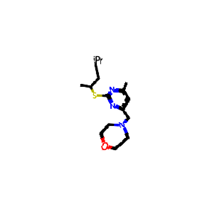 Cc1cc(CN2CCOCC2)nc(SC(C)CC(C)C)n1